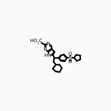 O=C(O)Cc1ncc2cc(C(CC3CCCCC3)c3ccc(S(=O)(=O)C4CCCC4)cc3)[nH]c2n1